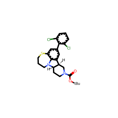 CC(C)(C)OC(=O)N1CC[C@@H]2[C@H](C1)c1cc(-c3c(Cl)cccc3Cl)cc3c1N2CCCS3